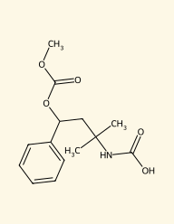 COC(=O)OC(CC(C)(C)NC(=O)O)c1ccccc1